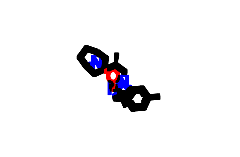 Cc1ccc2cnn(C[C@H](C)CN3C4CCC3CC(OCC3CC3)C4)c2c1